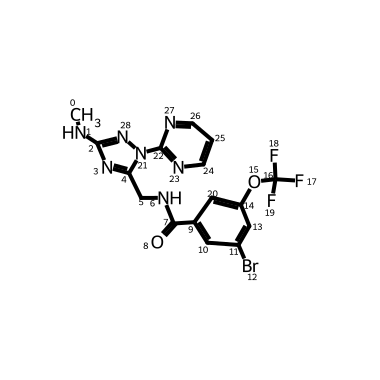 CNc1nc(CNC(=O)c2cc(Br)cc(OC(F)(F)F)c2)n(-c2ncccn2)n1